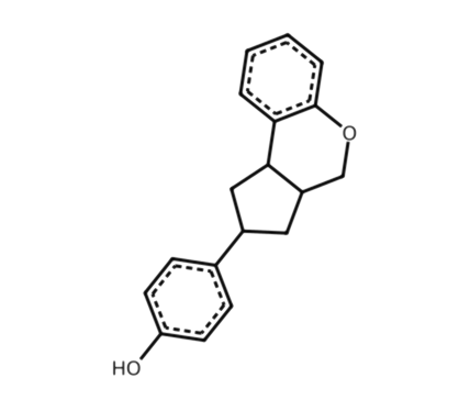 Oc1ccc(C2CC3COc4ccccc4C3C2)cc1